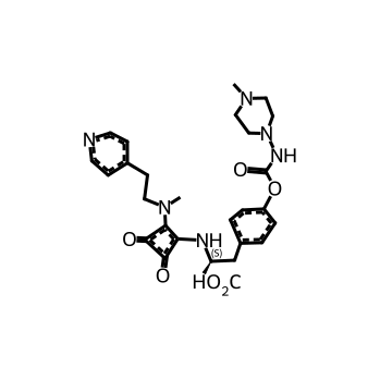 CN1CCN(NC(=O)Oc2ccc(C[C@H](Nc3c(N(C)CCc4ccncc4)c(=O)c3=O)C(=O)O)cc2)CC1